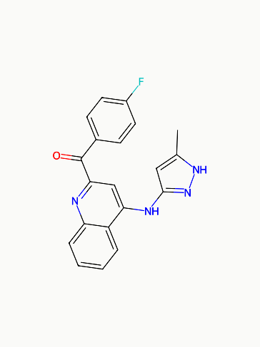 Cc1cc(Nc2cc(C(=O)c3ccc(F)cc3)nc3ccccc23)n[nH]1